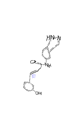 O=C(/C=C/c1cccc(O)c1)Nc1ccc2[nH]ncc2c1